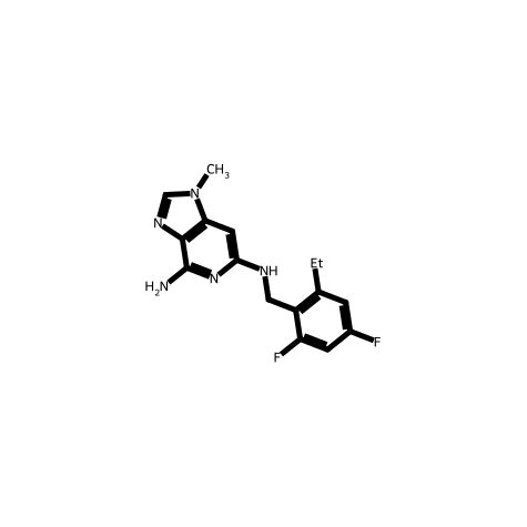 CCc1cc(F)cc(F)c1CNc1cc2c(ncn2C)c(N)n1